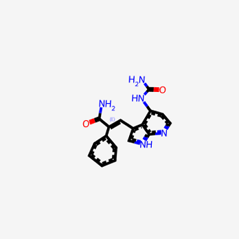 NC(=O)Nc1ccnc2[nH]cc(/C=C(/C(N)=O)c3ccccc3)c12